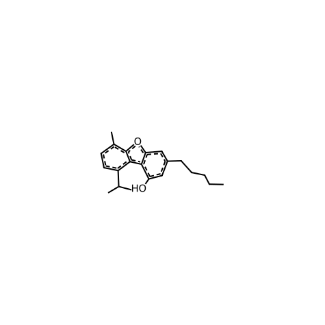 CCCCCc1cc(O)c2c(c1)oc1c(C)ccc(C(C)C)c12